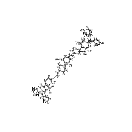 C=C1c2cc(/C=C/c3ccc4c(c3)C(C)(C)c3cc(N(c5cnccn5)c5cnccn5)ccc3-4)ccc2-c2ccc(/C=C/c3ccc4c(c3)C(C)(C)c3cc(N(c5cnccn5)c5cnccn5)ccc3-4)cc21